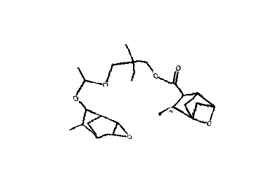 CC(OCC(C)(C)COC(=O)C1C2CC3(CC2O3)[C@H]1C)OC1C(C)C2CC1C1OC21